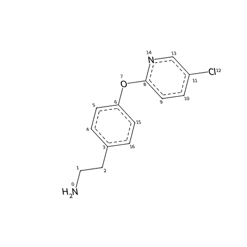 NCCc1ccc(Oc2ccc(Cl)cn2)cc1